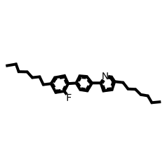 CCCCCCCc1ccc(-c2ccc(-c3ccc(CCCCCCC)cc3F)cc2)nc1